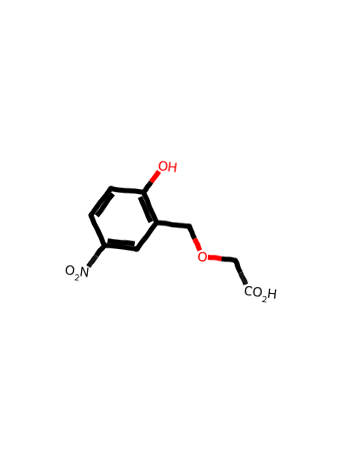 O=C(O)COCc1cc([N+](=O)[O-])ccc1O